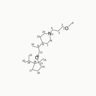 COCCCN1CCC(C(C)COC2(C)CCCC2C(C)C)CC1